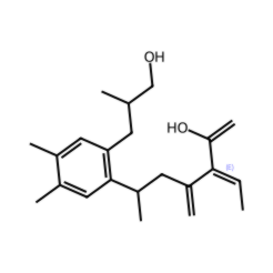 C=C(O)/C(=C/C)C(=C)CC(C)c1cc(C)c(C)cc1CC(C)CO